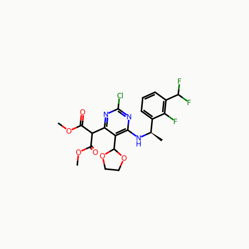 COC(=O)C(C(=O)OC)c1nc(Cl)nc(N[C@H](C)c2cccc(C(F)F)c2F)c1C1OCCO1